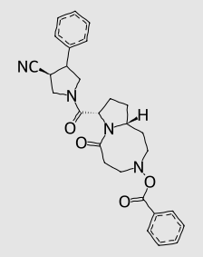 N#C[C@@H]1CN(C(=O)[C@@H]2CC[C@@H]3CCN(OC(=O)c4ccccc4)CCC(=O)N32)CC1c1ccccc1